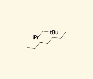 CC(C)CC(C)(C)C.CCCCCCC